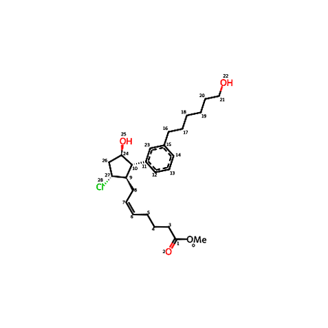 COC(=O)CCC/C=C\C[C@@H]1[C@@H](c2cccc(CCCCCCO)c2)[C@H](O)C[C@H]1Cl